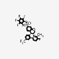 Cc1nc(-c2cc(C(F)(F)F)ccc2[C@@H]2CCOc3cc(S(=O)(=O)Oc4c(F)c(F)c(F)c(F)c4F)ccc32)ccc1F